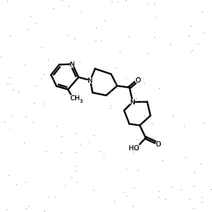 Cc1cccnc1N1CCC(C(=O)N2CCC(C(=O)O)CC2)CC1